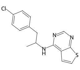 CC(Cc1ccc(Cl)cc1)Nc1ncnc2sccc12